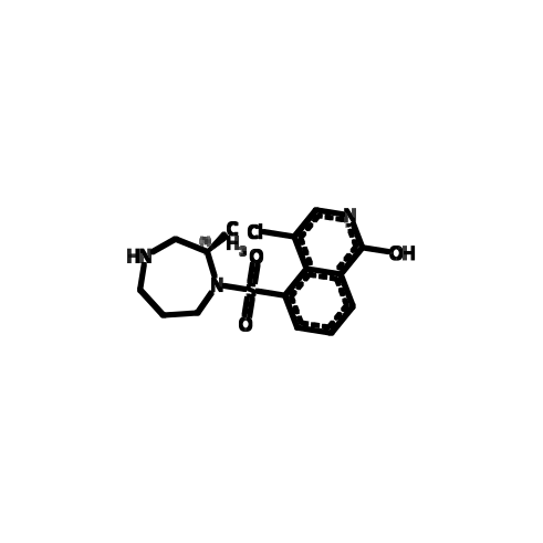 C[C@@H]1CNCCCN1S(=O)(=O)c1cccc2c(O)ncc(Cl)c12